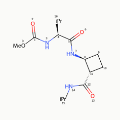 COC(=O)N[C@H](C(=O)N[C@H]1CC[C@@H]1C(=O)NC(C)C)C(C)C